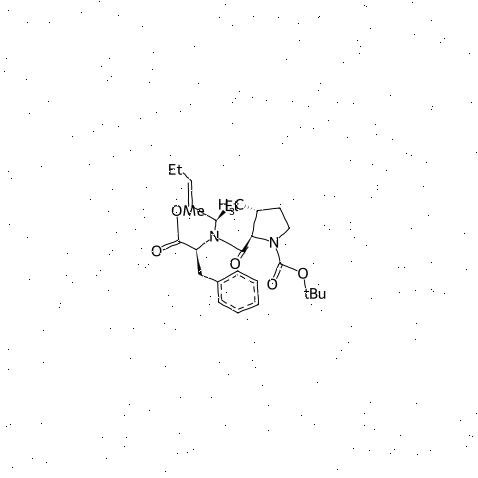 CC/C=C/[C@@H](CC)N(C(=O)[C@H]1[C@H](C)CCN1C(=O)OC(C)(C)C)[C@@H](Cc1ccccc1)C(=O)OC